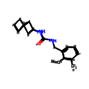 COc1c(CNC(=O)NC2CC3(CCC3)C2)cccc1C(F)(F)F